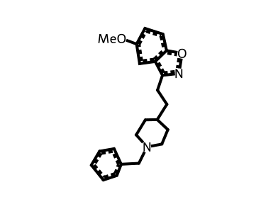 COc1ccc2onc(CCC3CCN(Cc4ccccc4)CC3)c2c1